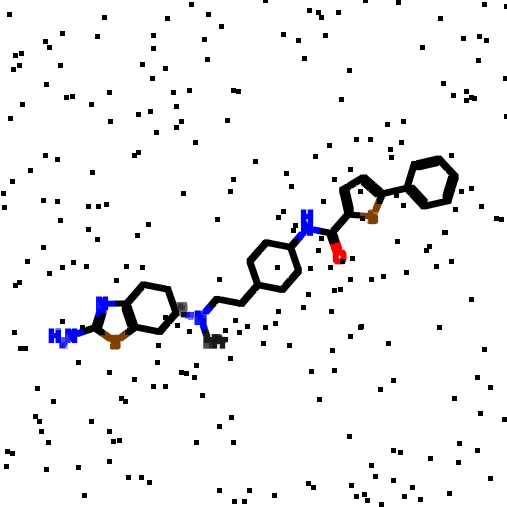 CCCN(CCC1CCC(NC(=O)c2ccc(-c3ccccc3)s2)CC1)[C@H]1CCc2nc(N)sc2C1